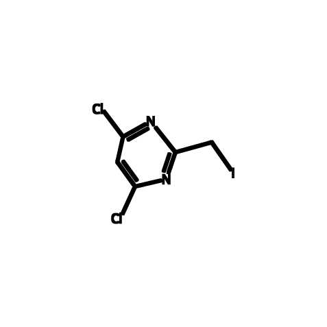 Clc1cc(Cl)nc(CI)n1